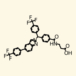 O=C(O)CCNC(=O)c1ccc(C(c2ccc(C(F)(F)F)cc2)n2cc3cc(-c4ccc(C(F)(F)F)cc4)ccc3n2)cc1